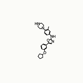 Cc1cc(Nc2ncc(-c3cccc(OC4CCCC4)c3)o2)ccc1N1CCNCC1